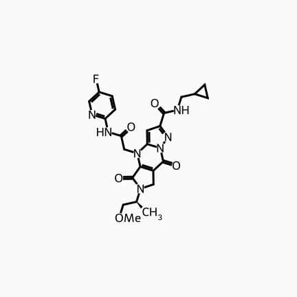 COC[C@H](C)N1Cc2c(n(CC(=O)Nc3ccc(F)cn3)c3cc(C(=O)NCC4CC4)nn3c2=O)C1=O